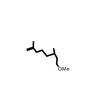 C=C(C)CCCC(C)CCOC